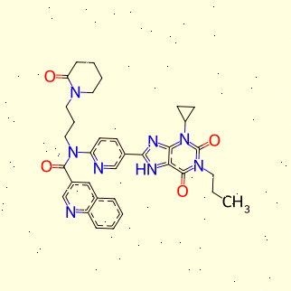 CCCn1c(=O)c2[nH]c(-c3ccc(N(CCCN4CCCCC4=O)C(=O)c4cnc5ccccc5c4)nc3)nc2n(C2CC2)c1=O